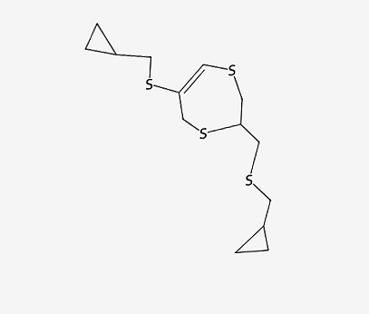 C1=C(SCC2CC2)CSC(CSCC2CC2)CS1